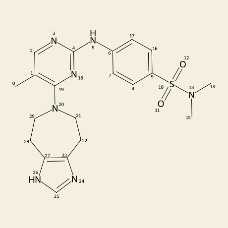 Cc1cnc(Nc2ccc(S(=O)(=O)N(C)C)cc2)nc1N1CCc2nc[nH]c2CC1